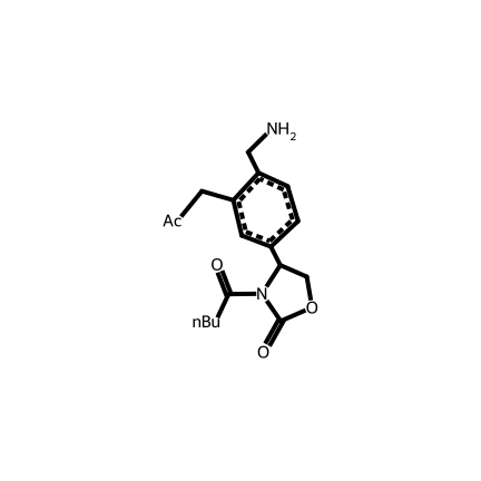 CCCCC(=O)N1C(=O)OCC1c1ccc(CN)c(CC(C)=O)c1